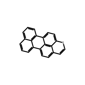 C1=Cc2ccc3c4cccc5cccc(c6ccc(c2c36)S1)c54